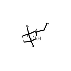 CCCBC(C)(C)C(C)(C)C